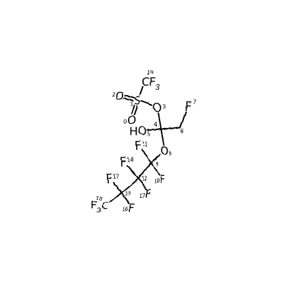 O=S(=O)(OC(O)(CF)OC(F)(F)C(F)(F)C(F)(F)C(F)(F)F)C(F)(F)F